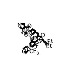 CCN(CC)CCOC(=O)C(Cc1ccc(-n2c(=O)c3ccncc3n(C)c2=O)nc1)NC(=O)c1c(F)cc(N2CCOC[C@@H]2C(F)(F)F)cc1F